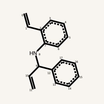 [CH]=Cc1ccccc1NC(C=C)c1ccccc1